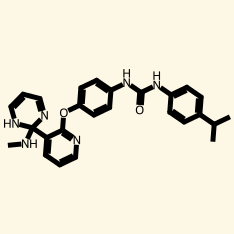 CNC1(c2cccnc2Oc2ccc(NC(=O)Nc3ccc(C(C)C)cc3)cc2)N=CC=CN1